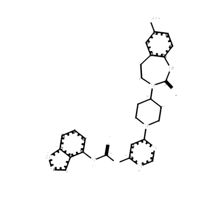 COc1ccc2c(c1)CCN(C1CCN(c3cc(OC(=O)Nc4cccc5[nH]ncc45)ncn3)CC1)C(=O)N2